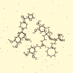 COc1cc2nc(N3CCN(C(=O)c4ccco4)CC3)nc(N)c2cc1OC.COc1ccc(CCN(C)CCCC(C#N)(c2ccc(OC)c(OC)c2)C(C)C)cc1OC.N=C(N)NCCN1CCCCCCC1